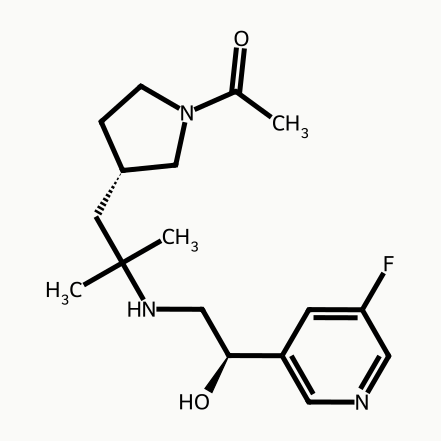 CC(=O)N1CC[C@@H](CC(C)(C)NC[C@H](O)c2cncc(F)c2)C1